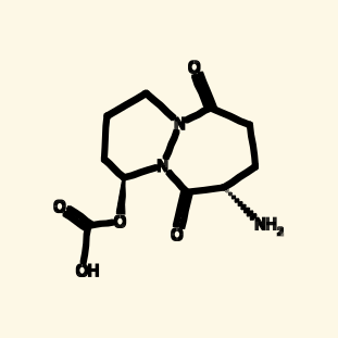 N[C@H]1CCC(=O)N2CCC[C@H](OC(=O)O)N2C1=O